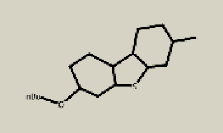 CCCCOC1CCC2C(C1)SC1CC(C)CCC12